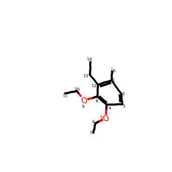 [CH2]c1ccc(OCC)c(OCC)c1CC